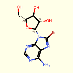 Nc1ncnc2c1nc(Br)n2[C@@H]1O[C@H](CO)C(O)[C@@H]1O